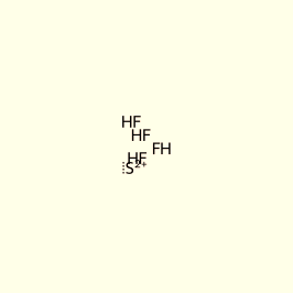 F.F.F.F.[S+2]